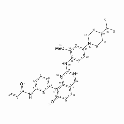 C=CC(=O)Nc1cccc(-n2c(=O)ccc3cnc(Nc4ccc(N5CCC(N(C)C)CC5)cc4OC)nc32)c1